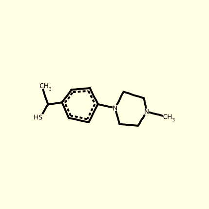 CC(S)c1ccc(N2CCN(C)CC2)cc1